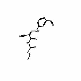 CCOC(=O)NC(=O)/C(C#N)=N\Nc1cccc(N=O)c1